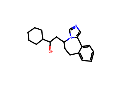 OC(CC1CCc2ccccc2-c2cncn21)C1CCCCC1